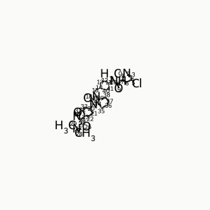 Cc1ncc(Cl)cc1C(=O)NC1CCC(Cn2c(=O)n(-c3ccc4c(C(=O)N(C)C)noc4c3)c3ccccc32)CC1